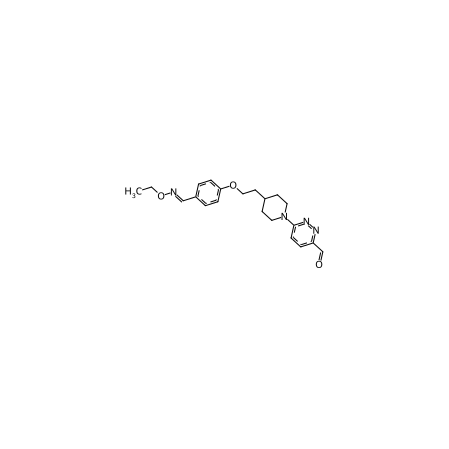 CCON=Cc1ccc(OCCC2CCN(c3ccc(C=O)nn3)CC2)cc1